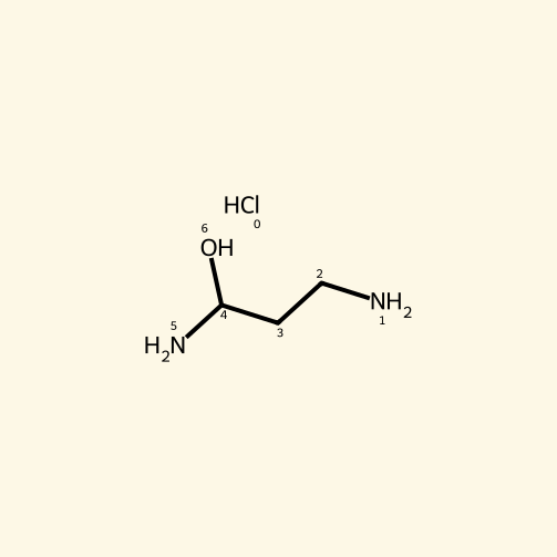 Cl.NCCC(N)O